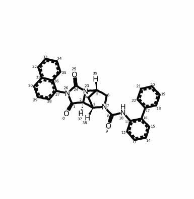 O=C1[C@@H]2[C@@H]3C[C@@H](CN3C(=O)Nc3ccccc3-c3ccccc3)N2C(=O)N1c1cccc2ccccc12